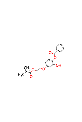 C=C(C)C(=O)OCCOc1ccc(OC(=O)c2ccccc2)c(O)c1